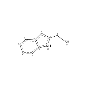 SCc1cc2ccccc2[nH]1